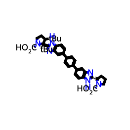 CC(C)(C)C1CCN(C(=O)O)[C@]1(c1nc2cc(-c3ccc(-c4ccc5[nH]c([C@@H]6CCCN6C(=O)O)nc5c4)cc3)ccc2[nH]1)C(C)(C)C